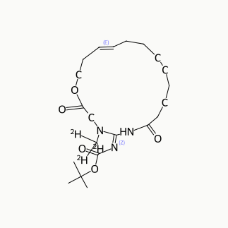 [2H]C([2H])([2H])N1CC(=O)OCC/C=C/CCCCCCCC(=O)N/C1=N/C(=O)OC(C)(C)C